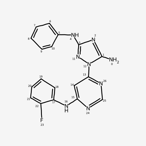 Nc1nc(Nc2ccccc2)nn1-c1cc(Nc2ccccc2F)ncn1